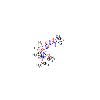 CC(C)CCC(NC(=O)[C@@H]1C[C@@H](OC(C)(C)C)CN1C(=O)[C@@H](NC(=O)OCC(C)C)C(C)(C)C)C(=O)C(=O)NCC(=O)NC(C(=O)N(C)C)c1ccccc1